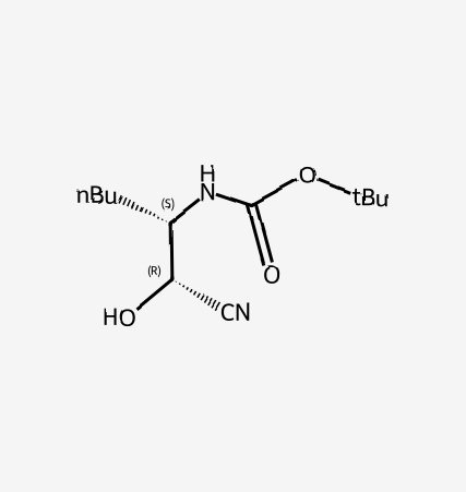 CCCC[C@H](NC(=O)OC(C)(C)C)[C@@H](O)C#N